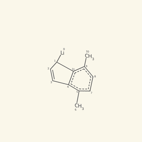 [Li][CH]1C=Cc2c(C)ccc(C)c21